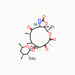 CC[C@H]1OC(=O)[C@H](C)C(=O)[C@H](C)[C@@H](OC2O[C@H](C)C[C@H](C)[C@H]2OC(C)=O)[C@](C)(OC)C[C@@H](C)C(=O)[C@H](C)[C@H]2NC(=O)O[C@@]21C